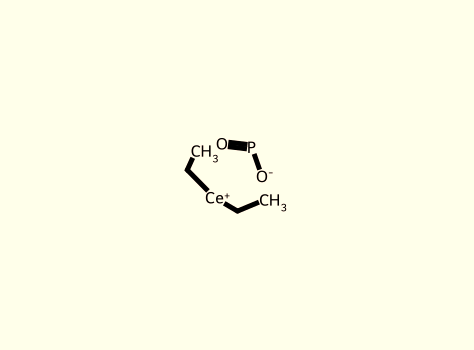 C[CH2][Ce+][CH2]C.O=P[O-]